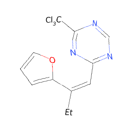 CCC(=Cc1ncnc(C(Cl)(Cl)Cl)n1)c1ccco1